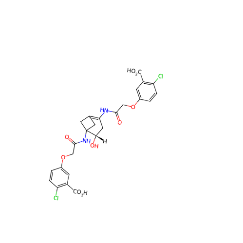 O=C(COc1ccc(Cl)c(C(=O)O)c1)NC1=C2CC(NC(=O)COc3ccc(Cl)c(C(=O)O)c3)(C2)[C@@H](O)C1